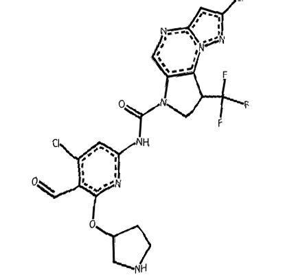 O=Cc1c(Cl)cc(NC(=O)N2CC(C(F)(F)F)c3c2cnc2cc(Cl)nn32)nc1OC1CCNC1